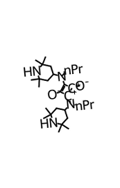 CCCN(c1c([O-])[c+](N(CCC)C2CC(C)(C)NC(C)(C)C2)[c+]1[O-])C1CC(C)(C)NC(C)(C)C1